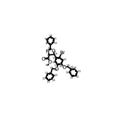 COC(=O)C1N=C(c2ccccc2)OC1c1cc(OCc2ccccc2)c(OCc2ccccc2)cc1Br